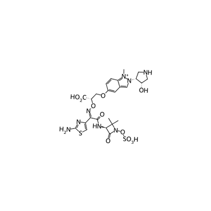 C[n+]1c2ccc(OC[C@H](O/N=C(\C(=O)N[C@@H]3C(=O)N(OS(=O)(=O)O)C3(C)C)c3csc(N)n3)C(=O)O)cc2cn1[C@@H]1CNC[C@@H]1O